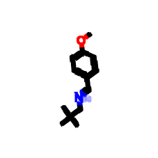 COc1ccc(/C=N/CC(C)(C)C)cc1